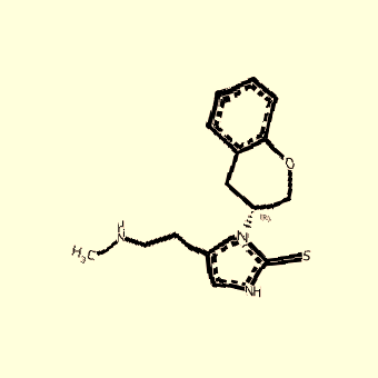 CNCCc1c[nH]c(=S)n1[C@H]1COc2ccccc2C1